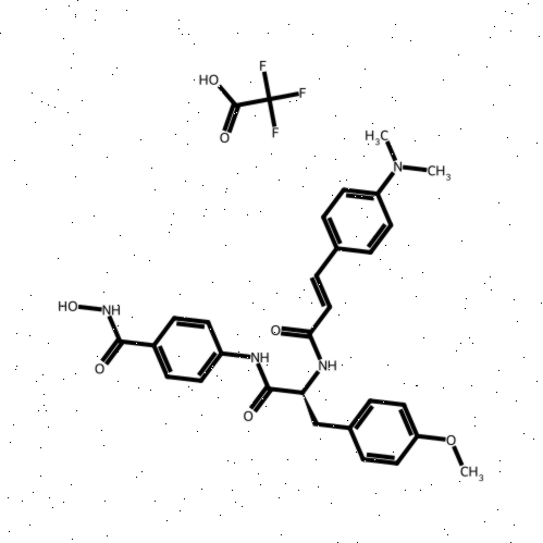 COc1ccc(C[C@H](NC(=O)/C=C/c2ccc(N(C)C)cc2)C(=O)Nc2ccc(C(=O)NO)cc2)cc1.O=C(O)C(F)(F)F